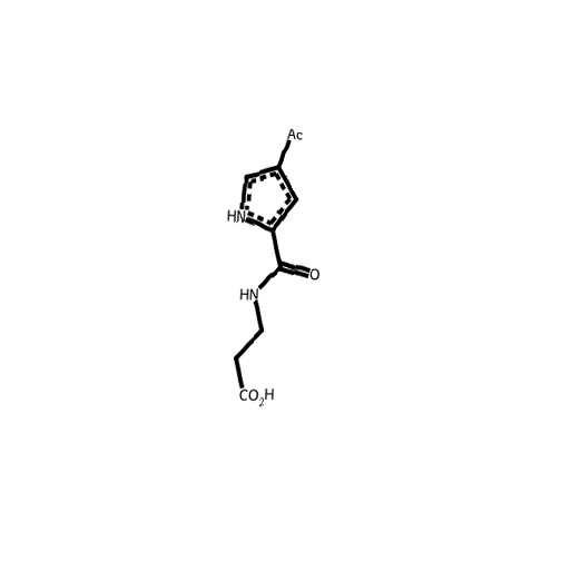 CC(=O)c1c[nH]c(C(=O)NCCC(=O)O)c1